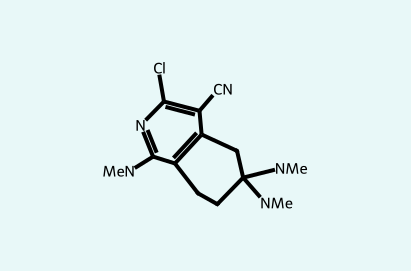 CNc1nc(Cl)c(C#N)c2c1CCC(NC)(NC)C2